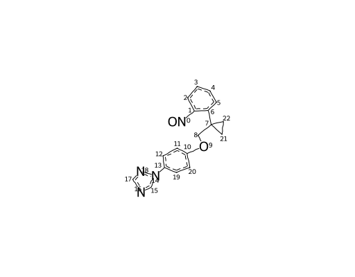 O=Nc1ccccc1C1(COc2ccc(-n3cncn3)cc2)CC1